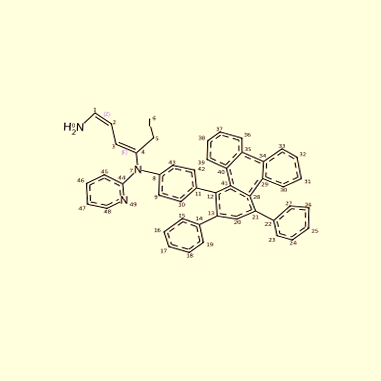 N/C=C\C=C(/CI)N(c1ccc(-c2c(-c3ccccc3)cc(-c3ccccc3)c3c4ccccc4c4ccccc4c23)cc1)c1ccccn1